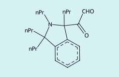 CCCN1C(CCC)(CCC)c2ccccc2C1(CCC)C(=O)C=O